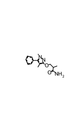 Cc1c(OCC(C)C(N)=O)nn(C)c1-c1ccccc1